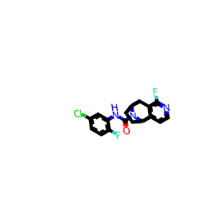 O=C(Nc1cc(Cl)ccc1F)N1C2CCC1c1ccnc(F)c1C2